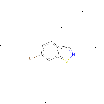 Brc1ccc2cnsc2c1